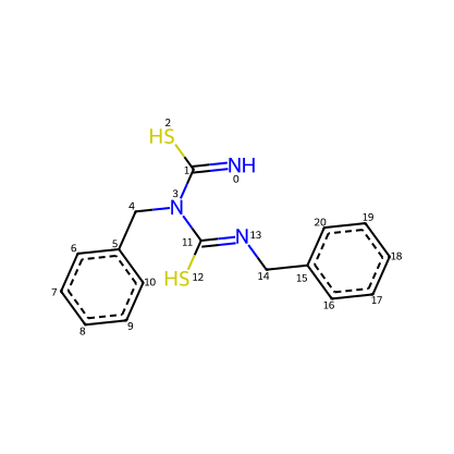 N=C(S)N(Cc1ccccc1)C(S)=NCc1ccccc1